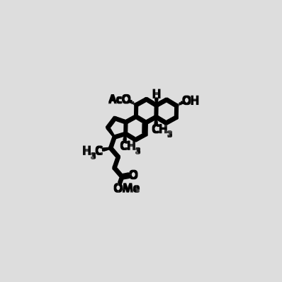 COC(=O)CC[C@@H](C)[C@H]1CCC2C3C(=CC[C@@]21C)[C@@]1(C)CC[C@@H](O)C[C@H]1C[C@H]3OC(C)=O